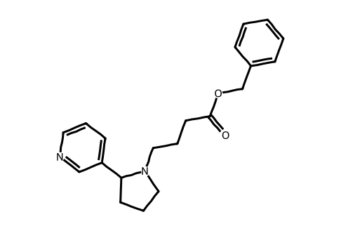 O=C(CCCN1CCCC1c1cccnc1)OCc1ccccc1